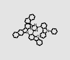 c1ccc(-n2c3ccccc3c3c(-c4nc(-c5cccc6ccccc56)nc(-c5c(-n6c7ccccc7c7cc8ccccc8cc76)ccc6c5oc5ccccc56)n4)cccc32)cc1